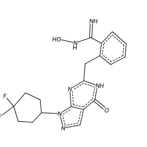 N=C(NO)c1ccccc1Cc1nc2c(cnn2C2CCC(F)(F)CC2)c(=O)[nH]1